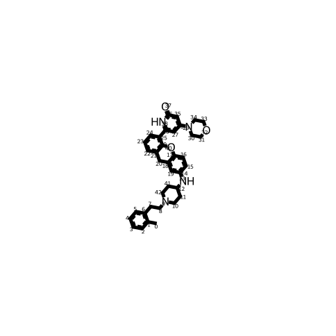 Cc1ccccc1CCN1CCC(Nc2ccc3c(c2)Cc2cccc(-c4cc(N5CCOCC5)cc(=O)[nH]4)c2O3)CC1